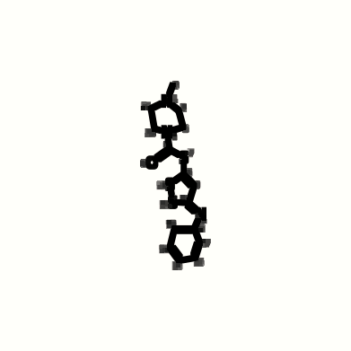 CN1CCN(C(=O)Sc2c/c(=N/c3ccccc3)ss2)CC1